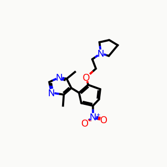 Cc1ncnc(C)c1-c1cc([N+](=O)[O-])ccc1OCCN1CCCC1